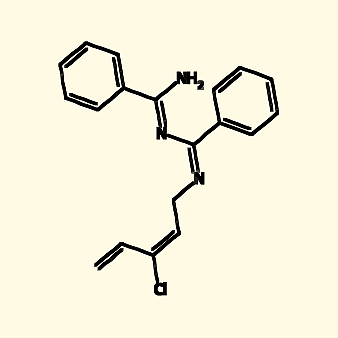 C=C/C(Cl)=C\C/N=C(\N=C(/N)c1ccccc1)c1ccccc1